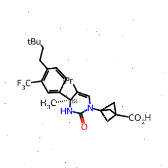 CC(C)C1=CN(C23CC(C(=O)O)(C2)C3)C(=O)N[C@@]1(C)c1ccc(CCC(C)(C)C)c(C(F)(F)F)c1